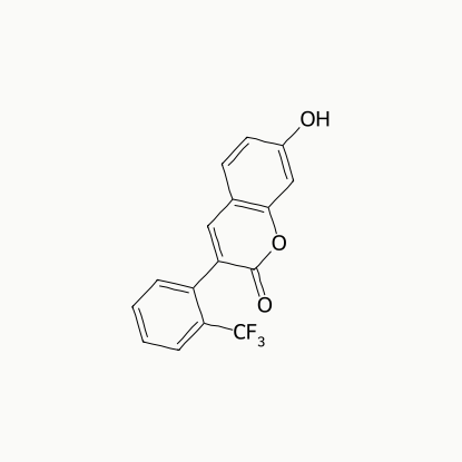 O=c1oc2cc(O)ccc2cc1-c1ccccc1C(F)(F)F